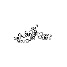 COc1ccc(CN(Cc2ccc(OC)cc2)S(=O)(=O)c2c(S(=O)(=O)CC[Si](C)(C)C)ccc(N3CCC4(CCN(C(=O)OC(C)(C)C)CC4)C3=O)c2-c2nnn(Cc3ccc(OC)cc3)n2)cc1